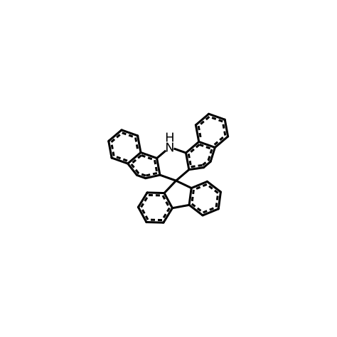 c1ccc2c(c1)-c1ccccc1C21c2ccc3ccccc3c2Nc2c1ccc1ccccc21